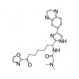 CN(C)CC(=O)NC(CCCCCC(=O)c1ncco1)c1nc(-c2ccc3nccnc3c2)c[nH]1